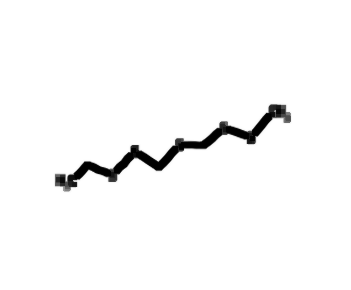 CCSSCSCSSC